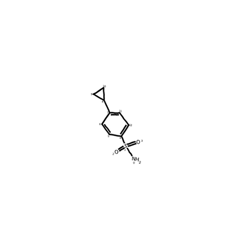 NS(=O)(=O)c1ccc(C2CC2)cc1